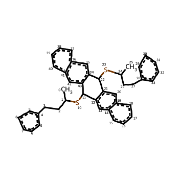 CC(CCc1ccccc1)SC1c2cc3ccccc3cc2C(SC(C)CCc2ccccc2)c2cc3ccccc3cc21